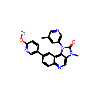 CCOc1ccc(-c2ccc3ncc4c(c3c2)n(-c2cncc(C)c2)c(=O)n4C)cn1